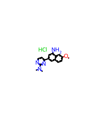 COc1ccc2cc(-c3ccnc(N(C)C)n3)cc(N)c2c1.Cl